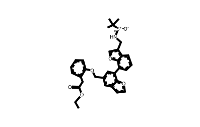 CCOC(=O)Cc1ccccc1OCc1cc(-c2cccc3c(CN[S@@+]([O-])C(C)(C)C)coc23)c2occc2c1